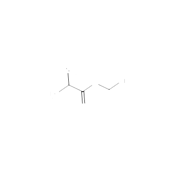 [CH2]C(N)C(=O)OCC